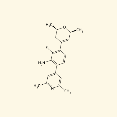 Cc1cc(-c2ccc(C3=C[C@H](C)O[C@H](C)C3)c(F)c2N)cc(C)n1